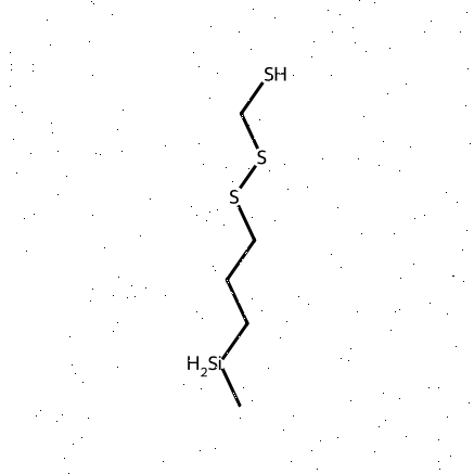 C[SiH2]CCCSSCS